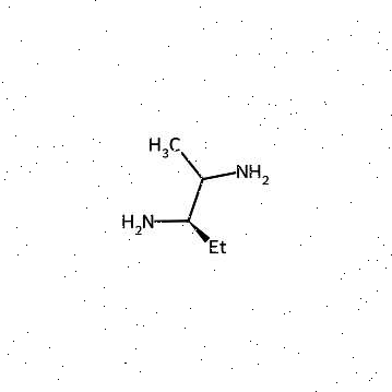 CC[C@@H](N)C(C)N